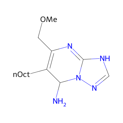 CCCCCCCCC1=C(COC)N=C2NC=NN2C1N